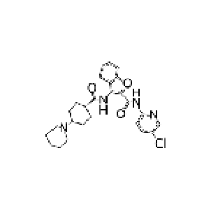 O=C(Nc1ccc(Cl)cn1)c1oc2ccccc2c1NC(=O)[C@H]1CC[C@H](N2CCCCC2)CC1